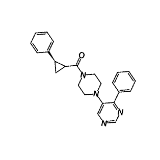 O=C(C1C[C@H]1c1ccccc1)N1CCN(c2cncnc2-c2ccccc2)CC1